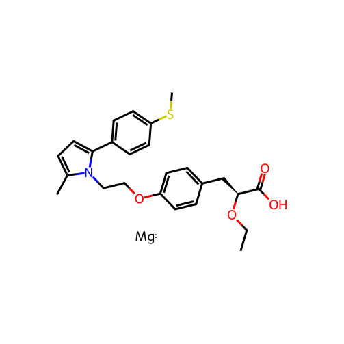 CCO[C@@H](Cc1ccc(OCCn2c(C)ccc2-c2ccc(SC)cc2)cc1)C(=O)O.[Mg]